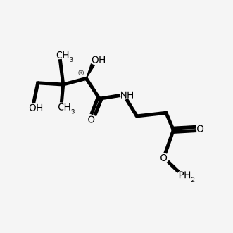 CC(C)(CO)[C@@H](O)C(=O)NCCC(=O)OP